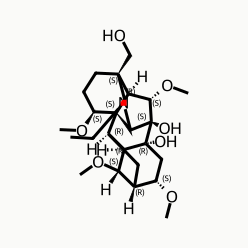 CCN1C[C@]2(CO)CC[C@H](OC)[C@]34C1[C@](O)([C@@H](OC)[C@H]23)[C@@]1(O)C[C@H](OC)[C@H]2C[C@@H]4[C@@H]1[C@H]2OC